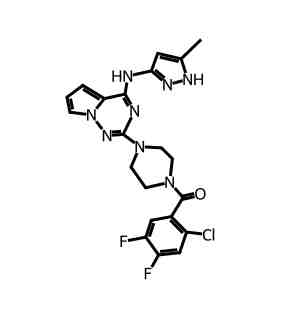 Cc1cc(Nc2nc(N3CCN(C(=O)c4cc(F)c(F)cc4Cl)CC3)nn3cccc23)n[nH]1